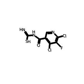 N=C(S)NC(=O)c1cnc(Cl)c(F)c1Cl